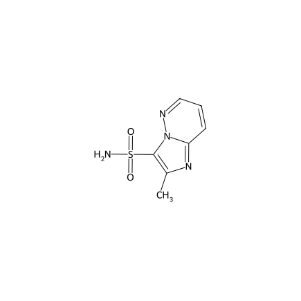 Cc1nc2cccnn2c1S(N)(=O)=O